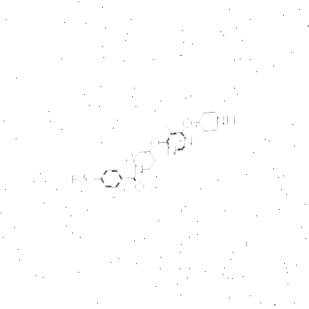 Cc1c(OC2CCNCC2)ncnc1OC1CCN(C(=O)c2ccc(C(F)(F)F)cc2)CC1